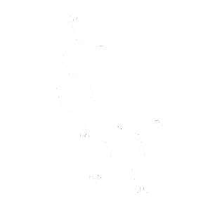 Cc1cc(C)c(N)c(Nc2ccc(CC(C)O)cc2)n1